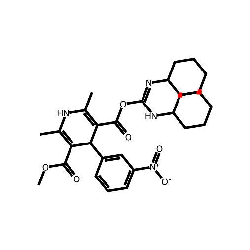 COC(=O)C1=C(C)NC(C)=C(C(=O)O/C(=N/C2CCCCC2)NC2CCCCC2)C1c1cccc([N+](=O)[O-])c1